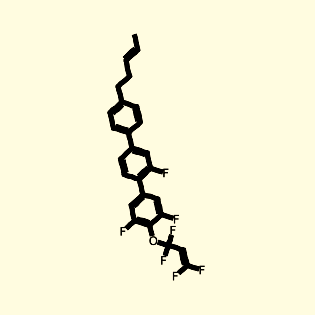 C/C=C/CCc1ccc(-c2ccc(-c3cc(F)c(OC(F)(F)C=C(F)F)c(F)c3)c(F)c2)cc1